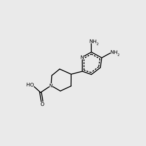 Nc1ccc(C2CCN(C(=O)O)CC2)nc1N